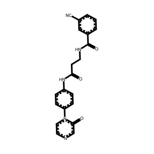 N#Cc1cccc(C(=O)NCCC(=O)Nc2ccc(-n3ccncc3=O)cc2)c1